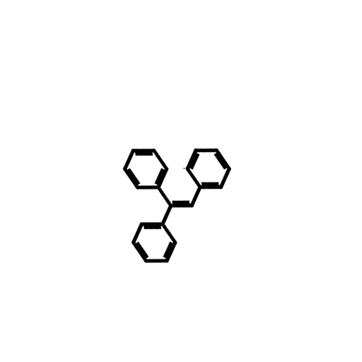 [c]1ccccc1C=C(c1ccccc1)c1ccccc1